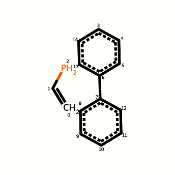 C=CP.c1ccc(-c2ccccc2)cc1